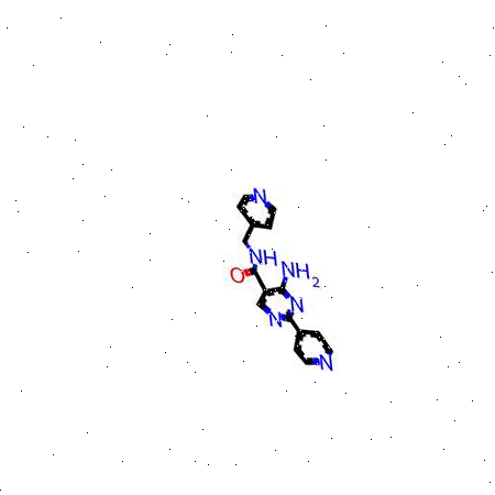 Nc1nc(-c2ccncc2)ncc1C(=O)NCc1ccncc1